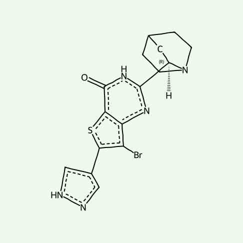 O=c1[nH]c([C@H]2CC3CCN2CC3)nc2c(Br)c(-c3cn[nH]c3)sc12